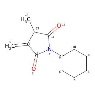 C=C1C(=O)N(C2CCCCC2)C(=O)C1C